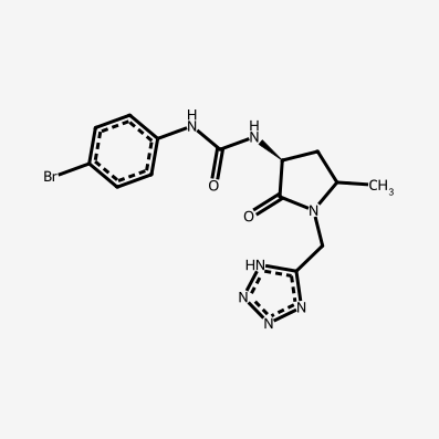 CC1C[C@H](NC(=O)Nc2ccc(Br)cc2)C(=O)N1Cc1nnn[nH]1